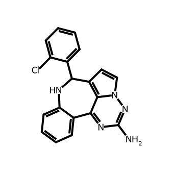 Nc1nc2c3c(ccn3n1)C(c1ccccc1Cl)Nc1ccccc1-2